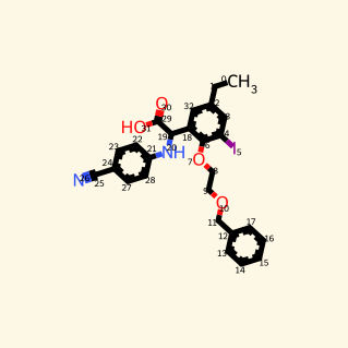 CCc1cc(I)c(OCCOCc2ccccc2)c(C(Nc2ccc(C#N)cc2)C(=O)O)c1